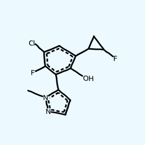 Cn1nccc1-c1c(O)c(C2CC2F)cc(Cl)c1F